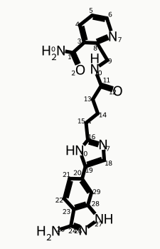 NC(=O)c1cccnc1CNC(=O)CC[CH]c1ncc(-c2ccc3c(N)n[nH]c3c2)[nH]1